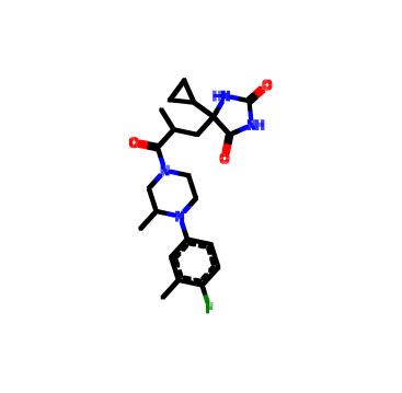 Cc1cc(N2CCN(C(=O)C(C)CC3(C4CC4)NC(=O)NC3=O)CC2C)ccc1F